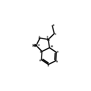 CCN1[C]NC2C=CC=CC21